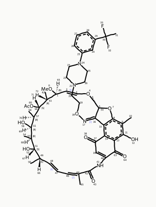 CO[C@H]1/C=C/O[C@@]2(C)Oc3c(C)c(O)c4c(c3/C2=N/OCCN2CCN(c3cccc(C(C)(F)F)c3)CC2)C(=O)C=C(NC(=O)/C(C)=C\C=C\[C@H](C)[C@H](O)[C@@H](C)[C@@H](O)[C@@H](C)[C@H](OC(C)=O)[C@@H]1C)C4=O